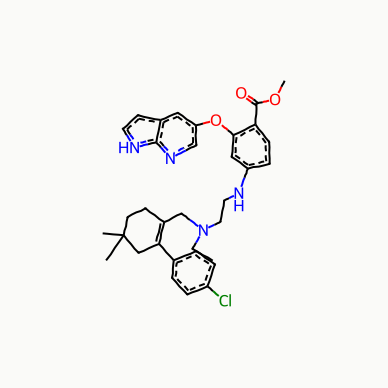 CCN(CCNc1ccc(C(=O)OC)c(Oc2cnc3[nH]ccc3c2)c1)CC1=C(c2ccc(Cl)cc2)CC(C)(C)CC1